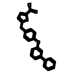 O=C(Cl)c1ccc(Cc2ccc(Oc3cccc(-c4ccccc4)c3)cc2)s1